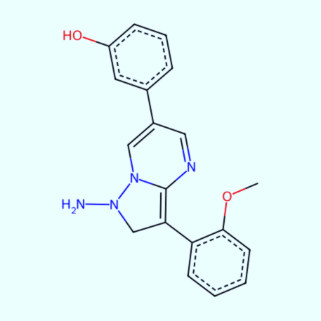 COc1ccccc1C1=C2N=CC(c3cccc(O)c3)=CN2N(N)C1